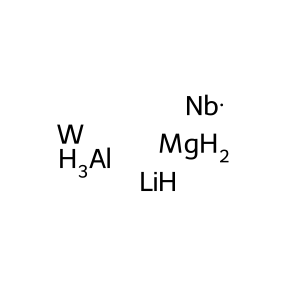 [AlH3].[LiH].[MgH2].[Nb].[W]